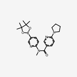 CN(C(=O)c1ccc(N2CCCC2)nc1)c1ccc(B2OC(C)(C)C(C)(C)O2)cn1